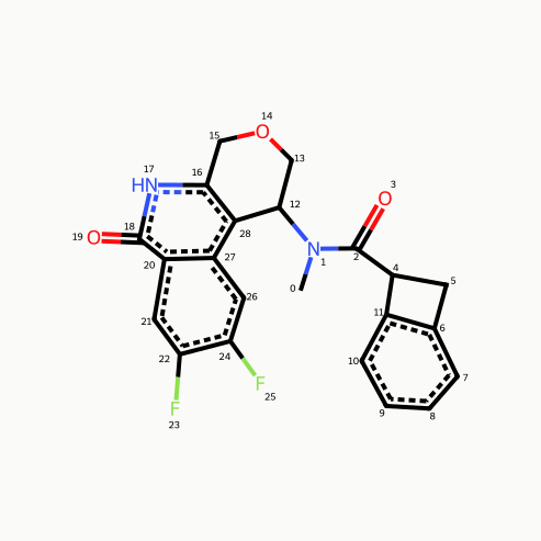 CN(C(=O)C1Cc2ccccc21)C1COCc2[nH]c(=O)c3cc(F)c(F)cc3c21